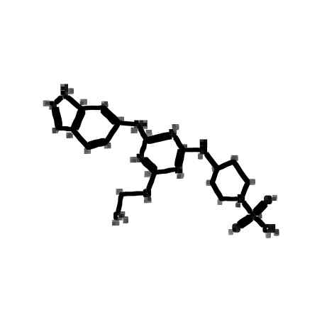 CS(=O)(=O)N1CCC(Nc2nc(Nc3ccc4cn[nH]c4c3)nc(OCC(F)(F)F)n2)CC1